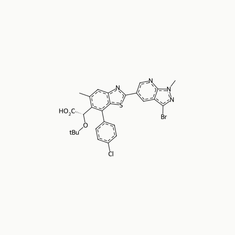 Cc1cc2nc(-c3cnc4c(c3)c(Br)nn4C)sc2c(-c2ccc(Cl)cc2)c1[C@H](OC(C)(C)C)C(=O)O